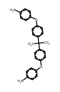 Nc1ccc(Oc2ccc(C(c3ccc(Oc4ccc(N)cc4)cc3)(C(Cl)(Cl)Cl)C(Cl)(Cl)Cl)cc2)cc1